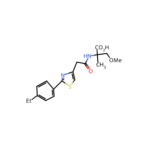 CCc1ccc(-c2nc(CC(=O)NC(C)(COC)C(=O)O)cs2)cc1